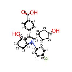 O=C(O)c1ccc(-c2c3c(O)cccc3n(-c3ccc(F)cc3)c2[C@H]2CC[C@@H](O)CC2)cc1